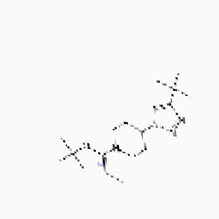 C/C=C(/OC(C)(C)C)N1CCC(n2cc(C(C)(C)C)nn2)CC1